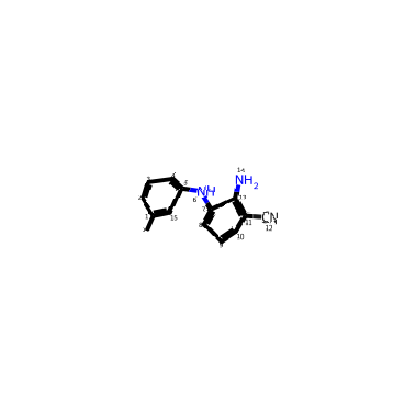 Cc1cccc(Nc2cccc(C#N)c2N)c1